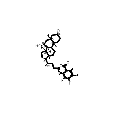 C[C@H](CCc1nc2c(F)c(F)c(F)c(F)c2c(=O)o1)[C@H]1CC[C@H]2[C@H]3C(CC[C@]12C)[C@@]1(C)CC[C@@H](O)C[C@H]1C[C@@H]3O